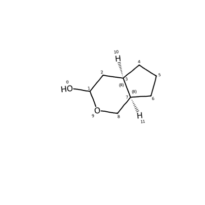 OC1C[C@H]2CCC[C@H]2CO1